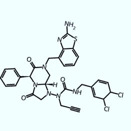 C#CCN(C(=O)NCC1=CC(Cl)C(Cl)C=C1)N1CC(=O)N2[C@@H](c3ccccc3)C(=O)N(Cc3cccc4sc(N)nc34)C[C@@H]21